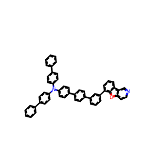 c1ccc(-c2ccc(N(c3ccc(-c4ccccc4)cc3)c3ccc(-c4ccc(-c5cccc(-c6cccc7c6oc6ccncc67)c5)cc4)cc3)cc2)cc1